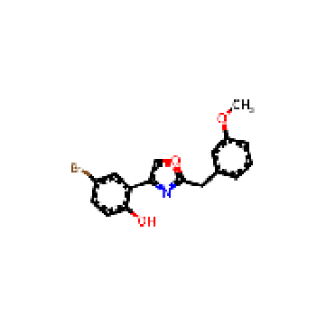 COc1cccc(Cc2nc(-c3cc(Br)ccc3O)co2)c1